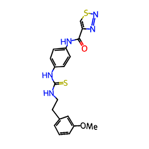 COc1cccc(CCNC(=S)Nc2ccc(NC(=O)c3csnn3)cc2)c1